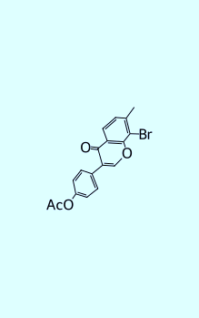 CC(=O)Oc1ccc(-c2coc3c(Br)c(C)ccc3c2=O)cc1